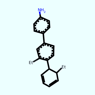 CCc1cc(-c2ccc(N)cc2)ccc1C1C=CC=CC1CC